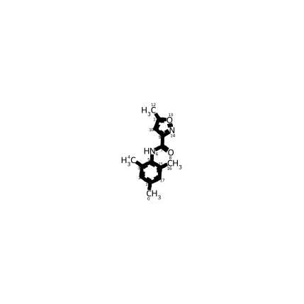 Cc1cc(C)c(NC(=O)c2cc(C)on2)c(C)c1